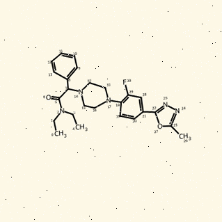 CCN(CC)C(=O)C(c1ccccc1)N1CCN(c2ccc(-c3nnc(C)o3)cc2F)CC1